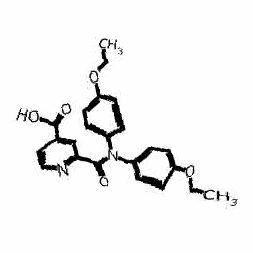 CCOc1ccc(N(C(=O)c2cc(C(=O)O)ccn2)c2ccc(OCC)cc2)cc1